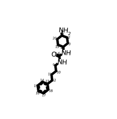 NC1CCC(NC(=O)NCCCCc2ccccc2)CC1